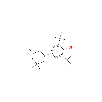 CC1CC(c2cc(C(C)(C)C)c(O)c(C(C)(C)C)c2)CC(C)(C)C1